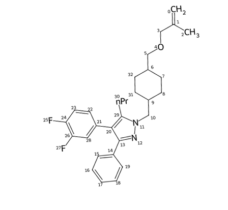 C=C(C)COCC1CCC(Cn2nc(-c3ccccc3)c(-c3ccc(F)c(F)c3)c2CCC)CC1